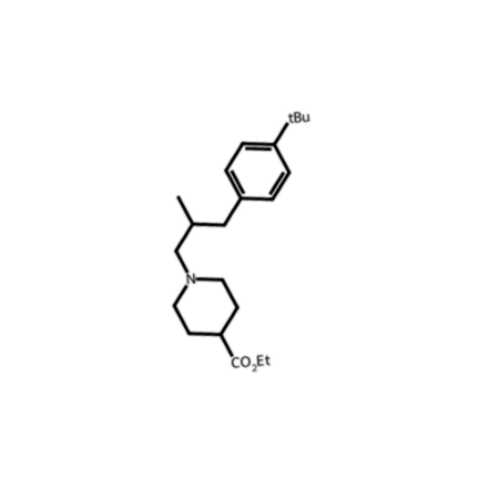 CCOC(=O)C1CCN(CC(C)Cc2ccc(C(C)(C)C)cc2)CC1